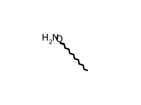 CCCCCCCCCCC=CON